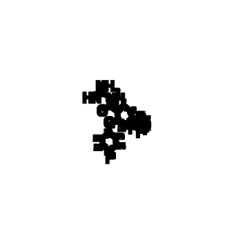 N=C(N)NC(=O)c1ccc(S(F)(F)(F)(F)F)cc1Oc1ccc(F)cc1